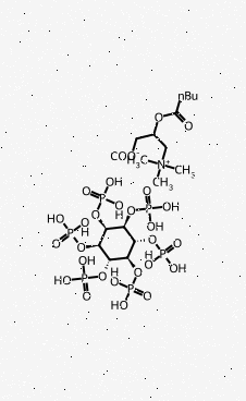 CCCCC(=O)OC(CC(=O)[O-])C[N+](C)(C)C.O=P(O)(O)O[C@H]1[C@H](OP(=O)(O)O)[C@@H](OP(=O)(O)O)[C@H](OP(=O)(O)O)[C@@H](OP(=O)(O)O)[C@H]1OP(=O)(O)O